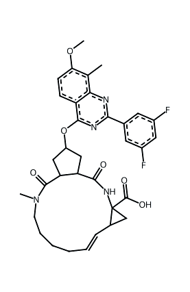 COc1ccc2c(OC3CC4C(=O)NC5(C(=O)O)CC5/C=C/CCCCN(C)C(=O)C4C3)nc(-c3cc(F)cc(F)c3)nc2c1C